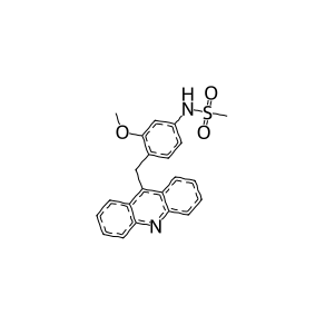 COc1cc(NS(C)(=O)=O)ccc1Cc1c2ccccc2nc2ccccc12